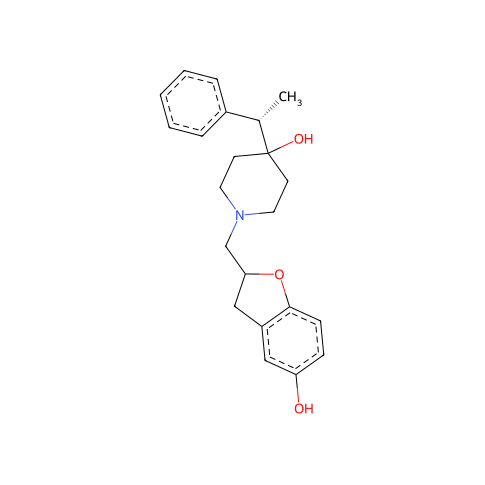 C[C@@H](c1ccccc1)C1(O)CCN(CC2Cc3cc(O)ccc3O2)CC1